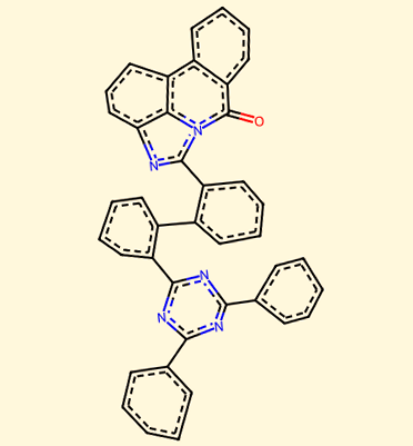 O=c1c2ccccc2c2cccc3nc(-c4ccccc4-c4ccccc4-c4nc(-c5ccccc5)nc(-c5ccccc5)n4)n1c32